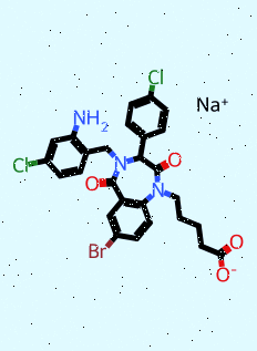 Nc1cc(Cl)ccc1CN1C(=O)c2cc(Br)ccc2N(CCCCC(=O)[O-])C(=O)C1c1ccc(Cl)cc1.[Na+]